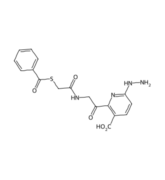 NNc1ccc(C(=O)O)c(C(=O)CNC(=O)CSC(=O)c2ccccc2)n1